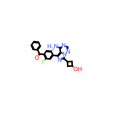 Nc1ncnn2c(C3CC(O)C3)nc(-c3ccc(C(=O)c4ccccc4)c(F)c3)c12